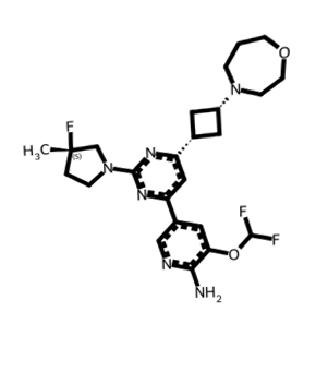 C[C@]1(F)CCN(c2nc(-c3cnc(N)c(OC(F)F)c3)cc([C@H]3C[C@@H](N4CCCOCC4)C3)n2)C1